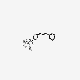 CC(C)(C)OC(=O)N1CCC(=CC=Cc2ccccc2)CC1